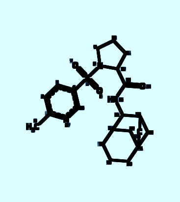 Cc1ccc(S(=O)(=O)N2CCCC2C(=O)NC2C3CCCC4(C3)CC2C4)cn1